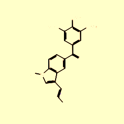 C=C(c1cc(OC)c(OC)c(OC)c1)c1ccc2c(c1)c(/C=C/C(=O)O)cn2C